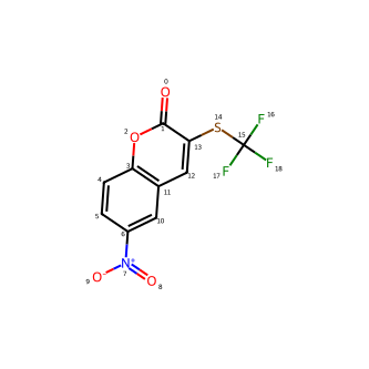 O=c1oc2ccc([N+](=O)[O-])cc2cc1SC(F)(F)F